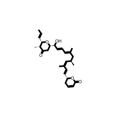 C/C=C/[C@@H]1O[C@H](C(O)/C=C/C=C(\C)C[C@@H](C)/C=C(C)\C=C\[C@H]2CC=CC(=O)O2)CC(=O)[C@@H]1C